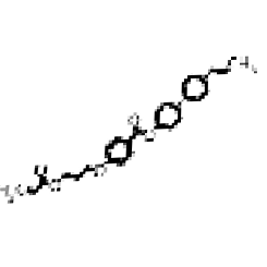 C=CC(=O)OCCCOc1ccc(C(=O)OC2CCC([C@H]3CC[C@H](CCC)CC3)CC2)cc1